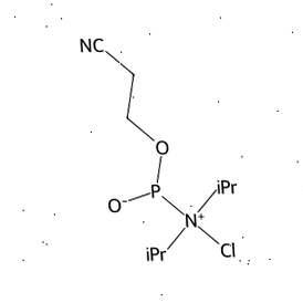 CC(C)[N+](Cl)(C(C)C)P([O-])OCCC#N